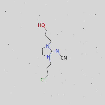 N#CN=C1N(CCCO)CCN1CCCCl